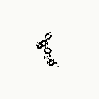 OCc1ccnc(NCC2CCN(c3nc(N4CCOCC4)cc4ncccc34)CC2)n1